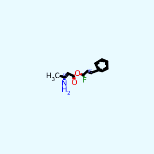 C/C(N)=C/C(=O)OC(F)/C=C/c1ccccc1